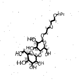 CCCOCCOCCO[C@H]1OC(CO)[C@@H](O[C@@H]2OC(CO)[C@H](O)C(O)C2O)C(O)C1O